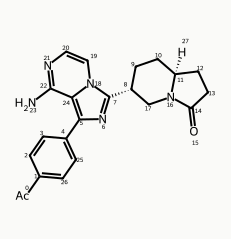 CC(=O)c1ccc(-c2nc([C@@H]3CC[C@H]4CCC(=O)N4C3)n3ccnc(N)c23)cc1